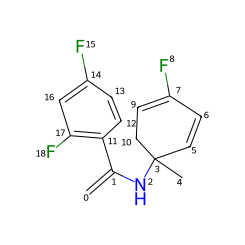 C=C(NC1(C)C=CC(F)=CC1)c1ccc(F)cc1F